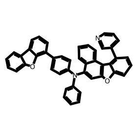 c1ccc(N(c2ccc(-c3cccc4c3oc3ccccc34)cc2)c2cc3oc4cccc(-c5cccnc5)c4c3c3ccccc23)cc1